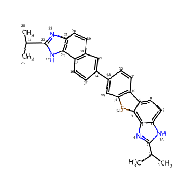 CC(C)c1nc2c(ccc3c4ccc(-c5ccc6c(ccc7nc(C(C)C)[nH]c76)c5)cc4sc32)[nH]1